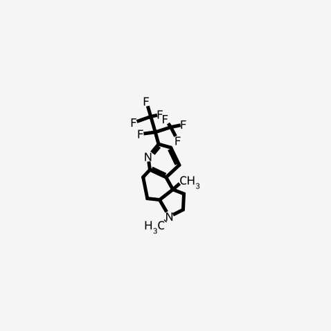 CN1CCC2(C)c3ccc(C(F)(C(F)(F)F)C(F)(F)F)nc3CCC12